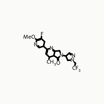 COC1=C(F)CC(C2=CC(C)C3C(=O)N(C4C=NN(CC(F)(F)F)C4)CC3=N2)C=N1